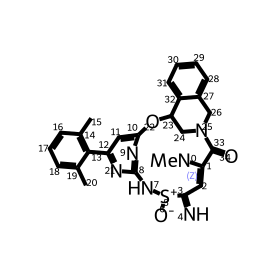 CN/C1=C\C(=N)[S+]([O-])Nc2nc(cc(-c3c(C)cccc3C)n2)OC2CN(Cc3ccccc32)C1=O